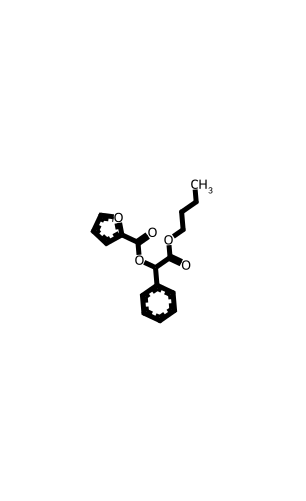 CCCCOC(=O)C(OC(=O)c1ccco1)c1ccccc1